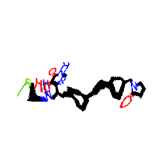 O=C1CCCN1Cc1ccc(C#Cc2ccc(CC(CNCCF)c3nc[nH]c(=O)c3O)cc2)cc1